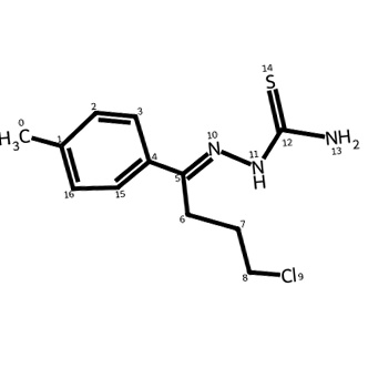 Cc1ccc(C(CCCCl)=NNC(N)=S)cc1